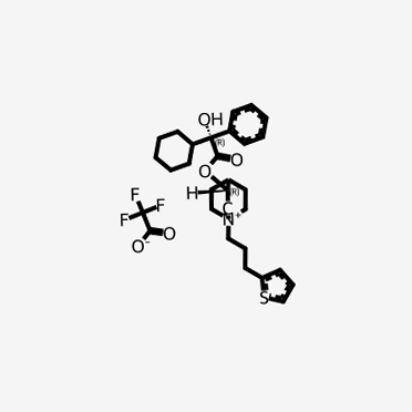 O=C(O[C@H]1C[N+]2(CCCc3cccs3)CCC1CC2)[C@](O)(c1ccccc1)C1CCCCC1.O=C([O-])C(F)(F)F